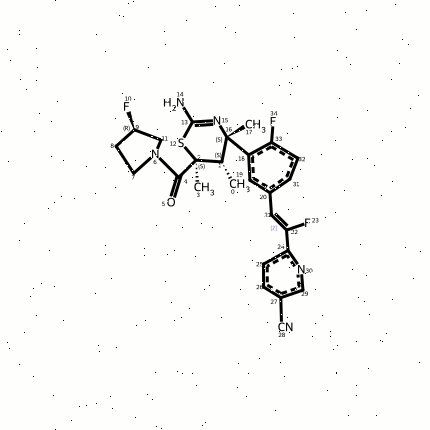 C[C@@H]1[C@@](C)(C(=O)N2CC[C@@H](F)C2)SC(N)=N[C@]1(C)c1cc(/C=C(\F)c2ccc(C#N)cn2)ccc1F